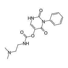 CN(C)CCNC(=O)Oc1c[nH]c(=O)n(-c2ccccc2)c1=O